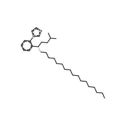 CCCCCCCCCCCCCCCCC[C@@H](CCC(C)C)c1ccccc1-n1ccnc1